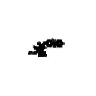 [2H]c1c2c(c([2H])c(OC)c1OC)C(=O)C(CC1CCN(C([2H])([2H])c3ccccc3)CC1)C2